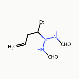 C=CCC(CC)N(NC=O)NC=O